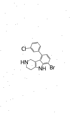 Clc1cccc(-c2ccc(Br)c3[nH]c4c(c23)CNCC4)c1